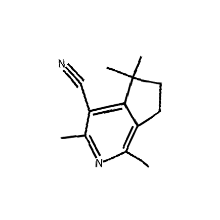 Cc1nc(C)c2c(c1C#N)C(C)(C)CC2